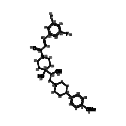 COc1ccc(C2CCN(CC(O)C3(O)CCN(C(=O)C=Cc4cc(F)cc(F)c4)CC3)CC2)cc1